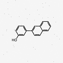 Oc1[c]ccc(-c2ccc3ccccc3c2)c1